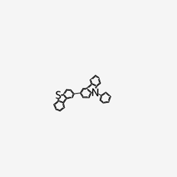 c1ccc(-n2c3ccccc3c3cc(-c4ccc5sc6ccccc6c5c4)ccc32)cc1